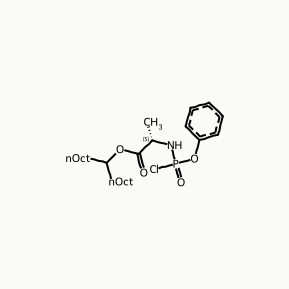 CCCCCCCCC(CCCCCCCC)OC(=O)[C@H](C)NP(=O)(Cl)Oc1ccccc1